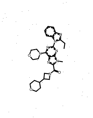 CCc1nc2ccccc2n1-c1nc(N2CCOCC2)c2nc(C(=O)N3CC(C4CCOCC4)C3)n(C)c2n1